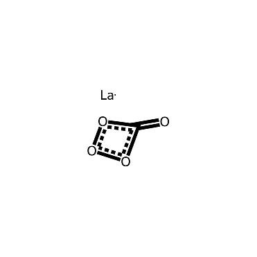 O=c1ooo1.[La]